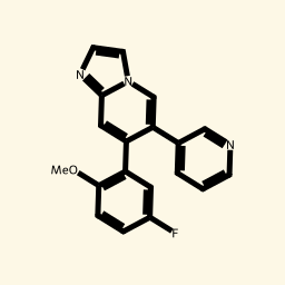 COc1ccc(F)cc1-c1cc2nccn2cc1-c1cccnc1